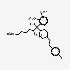 CCCCCCCCCCCCCCC(C(=O)O)C(O)(c1cccc(OC)c1OC)C1CCN(CCc2ccc(F)cc2)CC1